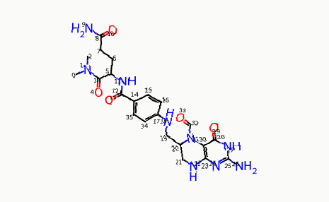 CN(C)C(=O)C(CCC(N)=O)NC(=O)c1ccc(NCC2CNc3nc(N)[nH]c(=O)c3N2C=O)cc1